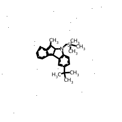 CC1=c2ccccc2=C2c3cc(C(C)(C)C)ccc3N(C[Si](C)(C)C)C12